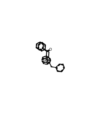 O=C(c1ccccc1)[C]12[CH]3[CH]4[C]5(Cc6ccccc6)[CH]1[Fe]43521678[CH]2[CH]1[CH]6[C]7(Cc1ccccc1)[CH]28